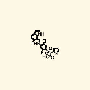 O=C(O)N(c1cscn1)S(=O)(=O)c1cc(Cl)c(NCc2c(F)ccc3cc[nH]c23)cc1F